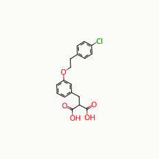 O=C(O)C(Cc1cccc(OCCc2ccc(Cl)cc2)c1)C(=O)O